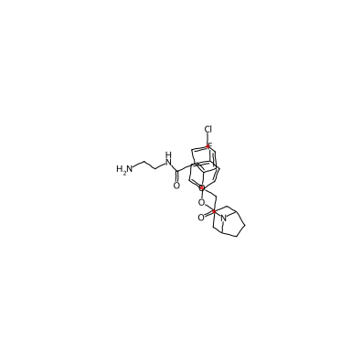 NCCNC(=O)c1cc(Cl)ccc1OCC(=O)N1C2CCC1CC(Oc1ccc(F)cc1)C2